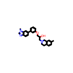 Cc1ccc2c(c1)CN(CC(O)COc1cccc(-c3ccc4ncn(C)c4c3)c1)CC2